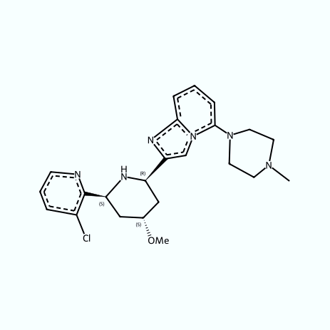 CO[C@@H]1C[C@@H](c2ncccc2Cl)N[C@@H](c2cn3c(N4CCN(C)CC4)cccc3n2)C1